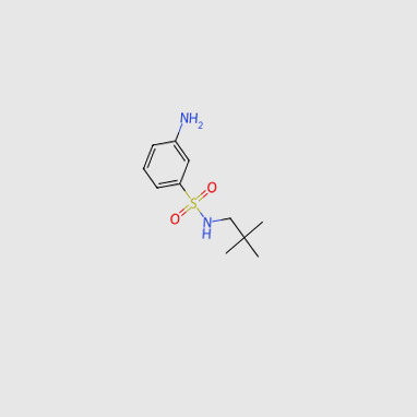 CC(C)(C)CNS(=O)(=O)c1cccc(N)c1